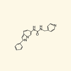 O=C(NCc1ccncc1)Nc1ccc2cc(-c3ccccc3)nn2c1